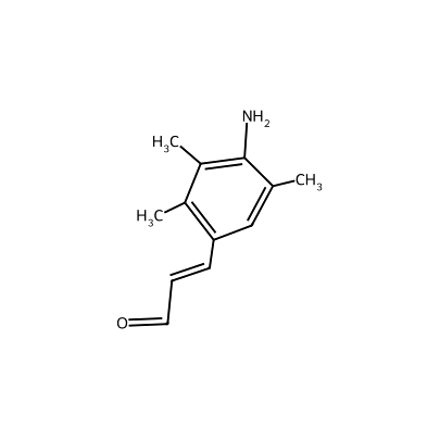 Cc1cc(C=CC=O)c(C)c(C)c1N